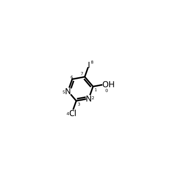 Oc1nc(Cl)ncc1I